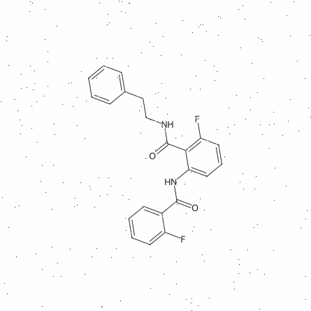 O=C(Nc1cccc(F)c1C(=O)NCCc1ccccc1)c1ccccc1F